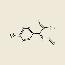 C=CC=C(C(N)=O)c1ccc(C(F)(F)F)cc1